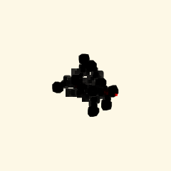 O=C(NC[C@@H]1C=C[C@@H](NC(=O)OCc2ccccc2)[C@@H](O[C@H]2[C@H](O[C@@H]3O[C@H](CO)[C@@H](O[C@H]4O[C@H](CNC(=O)OCc5ccccc5)C=C[C@H]4NC(=O)OCc4ccccc4)[C@H]3O)[C@@H](O)[C@H](NC(=O)OCc3ccccc3)C[C@@H]2NC(=O)OCc2ccccc2)O1)OCc1ccccc1